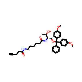 C#CCCC(=O)NCCCCCC(=O)N[C@H](COC(c1ccccc1)(c1ccc(OC)cc1)c1ccc(OC)cc1)[C@@H](C)O